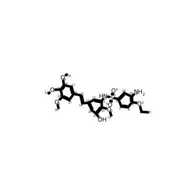 CCOc1ccc(S(=O)(=O)Nc2cc(C=Cc3cc(OC)c(OC)c(OC)c3)cc(O)c2OC)cc1N